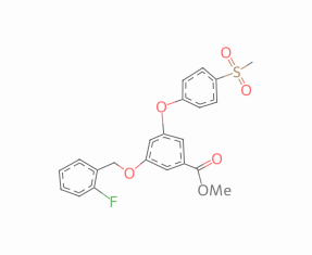 COC(=O)c1cc(OCc2ccccc2F)cc(Oc2ccc(S(C)(=O)=O)cc2)c1